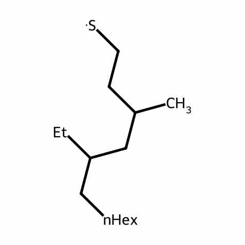 CCCCCCCC(CC)CC(C)CC[S]